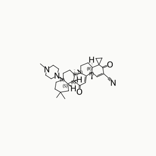 CN1CCN([C@]23CCC(C)(C)C[C@H]2[C@H]2C(=O)C=C4[C@@]5(C)C=C(C#N)C(=O)C6(CC6)[C@@H]5CC[C@@]4(C)[C@]2(C)CC3)CC1